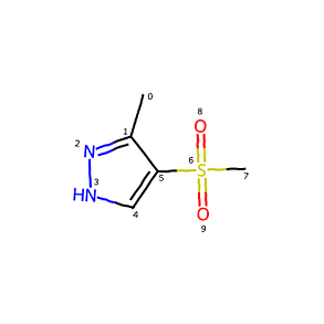 Cc1n[nH]cc1S(C)(=O)=O